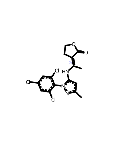 C/C(Nc1cc(C)nn1-c1c(Cl)cc(Cl)cc1Cl)=C1/CCOC1=O